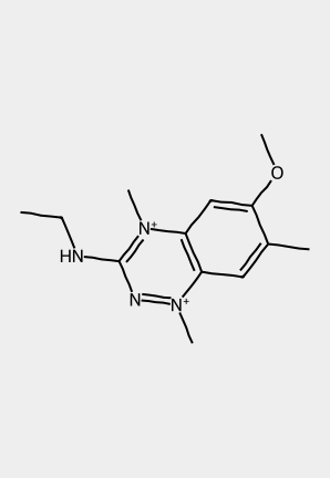 CCNc1n[n+](C)c2cc(C)c(OC)cc2[n+]1C